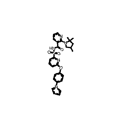 CC1CN(c2ncccc2C(=O)NS(=O)(=O)c2cccc(Oc3ccc(-n4cccc4)cc3)n2)C(C)(C)C1